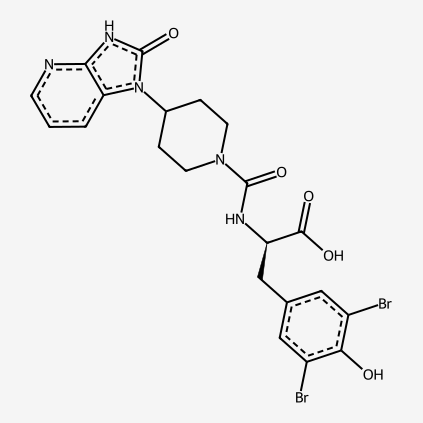 O=C(O)[C@@H](Cc1cc(Br)c(O)c(Br)c1)NC(=O)N1CCC(n2c(=O)[nH]c3ncccc32)CC1